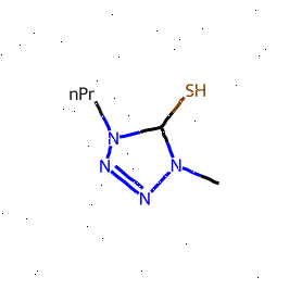 CCCN1N=NN(C)C1S